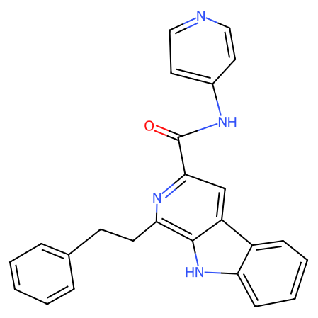 O=C(Nc1ccncc1)c1cc2c([nH]c3ccccc32)c(CCc2ccccc2)n1